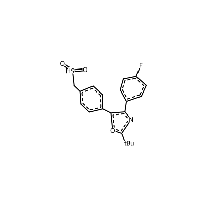 CC(C)(C)c1nc(-c2ccc(F)cc2)c(-c2ccc(C[SH](=O)=O)cc2)o1